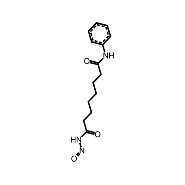 O=NNC(=O)CCCCCCC(=O)Nc1ccccc1